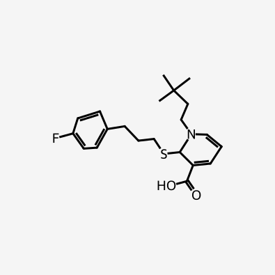 CC(C)(C)CCN1C=CC=C(C(=O)O)C1SCCCc1ccc(F)cc1